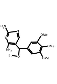 CCOC(c1cc(OC)c(OC)c(OC)c1)c1cnc(N)nc1N